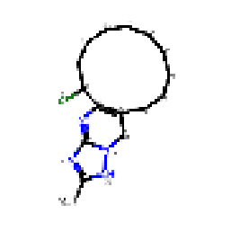 CSC1=NC2=NC3=C(CCCCCCCCCC3Cl)CN2N1